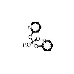 O=P(O)(Oc1ccccn1)Oc1ccccn1